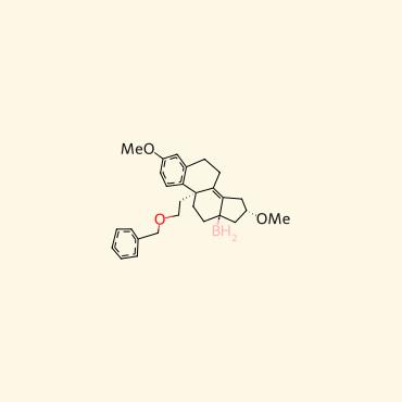 B[C@@]12CC[C@]3(CCOCc4ccccc4)C(=C1C[C@H](OC)C2)CCc1cc(OC)ccc13